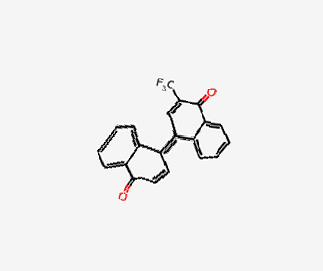 O=C1C=C/C(=C2/C=C(C(F)(F)F)C(=O)c3ccccc32)c2ccccc21